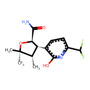 C[C@H]1[C@@H](c2ccc(C(F)F)nc2O)[C@H](C(N)=O)O[C@@]1(C)C(F)(F)F